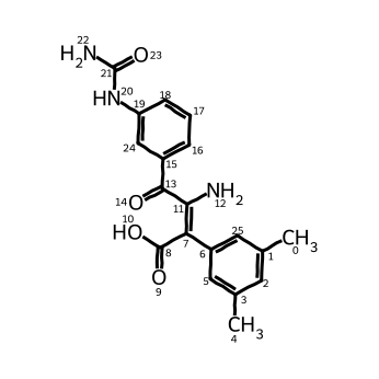 Cc1cc(C)cc(C(C(=O)O)=C(N)C(=O)c2cccc(NC(N)=O)c2)c1